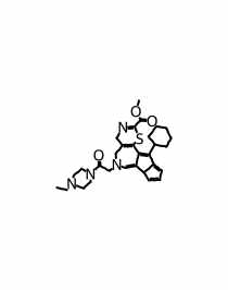 CCN1CCN(C(=O)CN2C=C3C(=C(C4CCCCC4)C4=CC=CC34)C3=C(CN=C(C(=O)OC)S3)C2)CC1